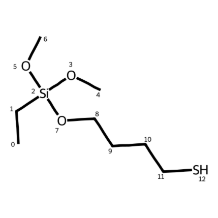 CC[Si](OC)(OC)OCCCCS